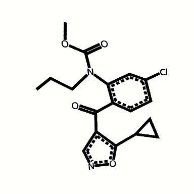 CCCN(C(=O)OC)c1cc(Cl)ccc1C(=O)c1cnoc1C1CC1